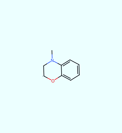 CN1C[CH]Oc2ccccc21